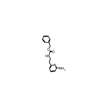 Nc1cccc(CCNC(=O)OCc2ccccc2)n1